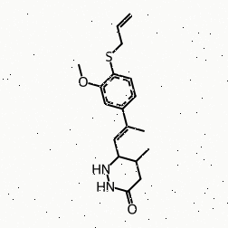 C=CCSc1ccc(/C(C)=C/C2NNC(=O)CC2C)cc1OC